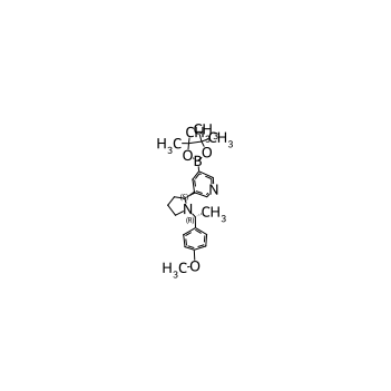 COc1ccc([C@@H](C)N2CCC[C@H]2c2cncc(B3OC(C)(C)C(C)(C)O3)c2)cc1